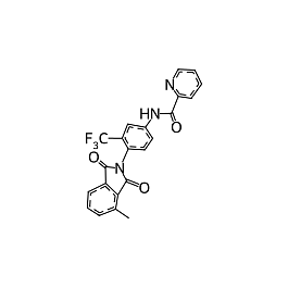 Cc1cccc2c1C(=O)N(c1ccc(NC(=O)c3ccccn3)cc1C(F)(F)F)C2=O